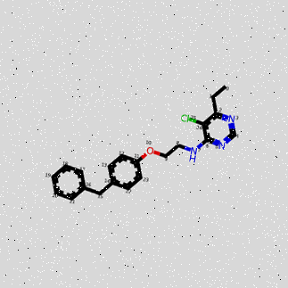 CCc1ncnc(NCCOc2ccc(Cc3ccccc3)cc2)c1Cl